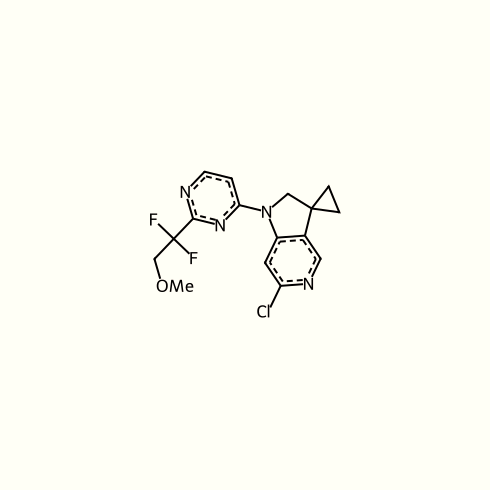 COCC(F)(F)c1nccc(N2CC3(CC3)c3cnc(Cl)cc32)n1